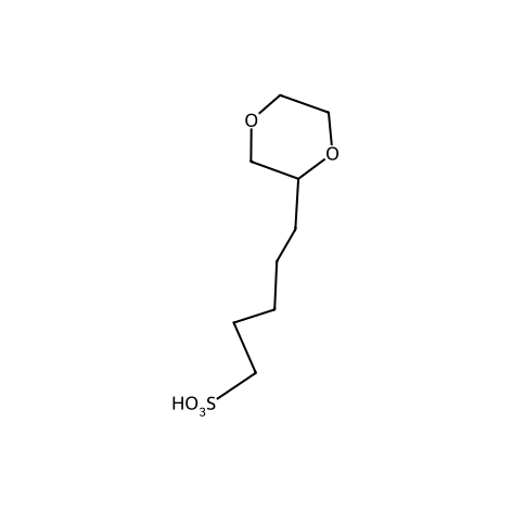 O=S(=O)(O)CCCCCC1COCCO1